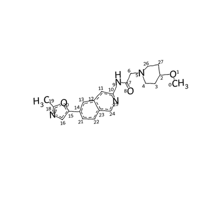 COC1CCN(CC(=O)Nc2cc3cc(-c4cnc(C)o4)ccc3cn2)CC1